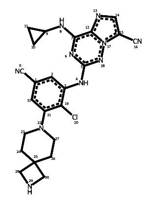 N#Cc1cc(Nc2nc(NC3CC3)c3ncc(C#N)n3n2)c(Cl)c(N2CCC3(CC2)CNC3)c1